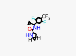 O=C(NC(c1cc(F)c(C(F)(F)F)cc1F)C1CC1)[C@H]1C[C@H]2C[C@H]2N1